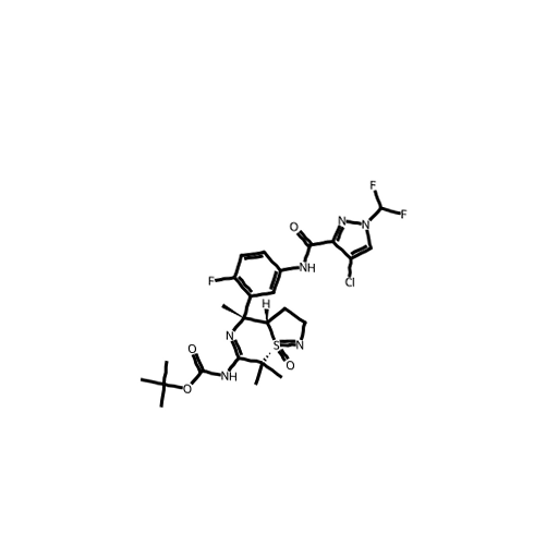 CC(C)(C)OC(=O)NC1=N[C@](C)(c2cc(NC(=O)c3nn(C(F)F)cc3Cl)ccc2F)[C@@H]2CCN=[S@]2(=O)C1(C)C